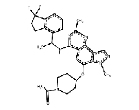 CC(=O)N1CCC(Oc2cc3c(NC(C)c4cccc5c4CCC5(F)F)nc(C)nc3c3cnn(C)c23)CC1